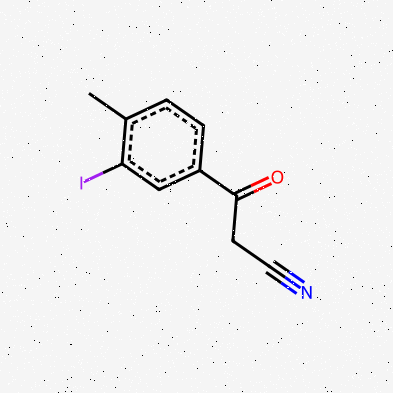 Cc1ccc(C(=O)CC#N)cc1I